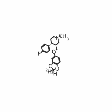 [2H]C1([2H])Oc2ccc(OC[C@@H]3CN(C)CC[C@H]3c3ccc(F)cc3)cc2O1